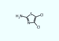 Nc1nc(Cl)c(Cl)s1